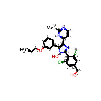 C=CCOc1cccc(-c2c(-c3ccnc(SC)n3)nc(-c3c(Cl)cc(CO)cc3Cl)n2O)c1